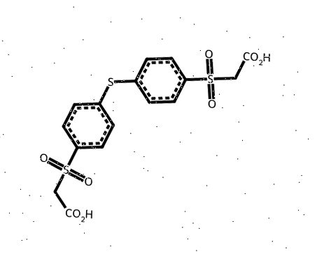 O=C(O)CS(=O)(=O)c1ccc(Sc2ccc(S(=O)(=O)CC(=O)O)cc2)cc1